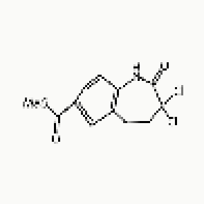 COC(=O)c1ccc2c(c1)CCC(Cl)(Cl)C(=O)N2